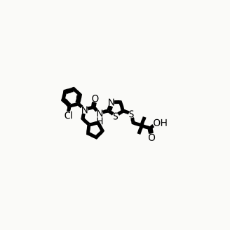 CC(C)(CSC1CN=C(NC(=O)N(CC2CCCC2)c2ccccc2Cl)S1)C(=O)O